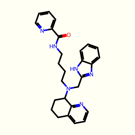 O=C(NCCCCN(Cc1nc2ccccc2[nH]1)C1CCCc2cccnc21)c1ccccn1